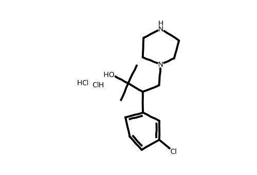 CC(C)(O)C(CN1CCNCC1)c1cccc(Cl)c1.Cl.Cl